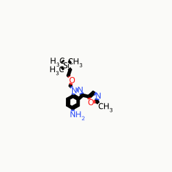 Cc1ncc(-c2nn(COCC[Si](C)(C)C)c3ccc(N)cc23)o1